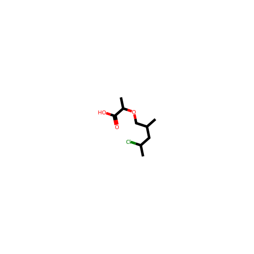 CC(Cl)CC(C)COC(C)C(=O)O